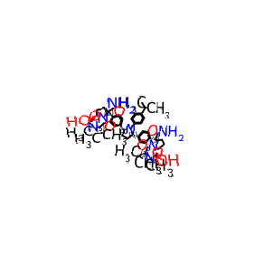 CC(C)c1ccc(N2[C@H](c3ccc([C@]4(C(N)=O)CCCN4C(=O)[C@H](C(C)C)N(C)C(=O)O)cc3)CC[C@H]2c2ccc([C@]3(C(N)=O)CCCN3C(=O)[C@H](C(C)C)N(C)C(=O)O)cc2)cc1